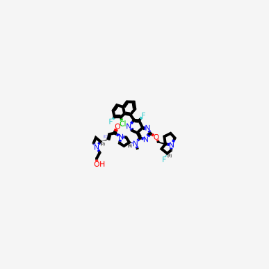 CN(c1nc(OC[C@@]23CCCN2C[C@H](F)C3)nc2c(F)c(-c3cccc4ccc(F)c(Cl)c34)ncc12)[C@@H]1CCN(C(=O)/C=C/[C@H]2CCN2CCO)C1